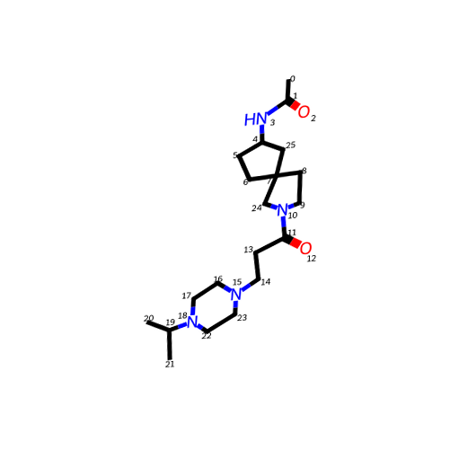 CC(=O)NC1CCC2(CCN(C(=O)CCN3CCN(C(C)C)CC3)C2)C1